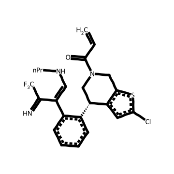 C=CC(=O)N1Cc2sc(Cl)cc2[C@H](c2ccccc2/C(=C/NCCC)C(=N)C(F)(F)F)C1